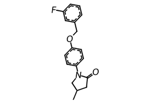 CC1CC(=O)N(c2ccc(OCc3cccc(F)c3)cc2)C1